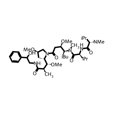 CC[C@H](C)[C@@H]([C@@H](CC(=O)N1C[C@H](OC)C[C@H]1[C@H](OC)[C@@H](C)C(=O)NCC(O)c1ccccc1)OC)N(C)C(=O)[C@@H](NC(=O)[C@@H](NC)C(C)C)C(C)C